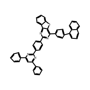 c1ccc(-c2cc(-c3ccccc3)nc(-c3ccc(-c4nc(-c5ccc(-c6cccc7ccccc67)cc5)c5sc6ccccc6c5n4)cc3)n2)cc1